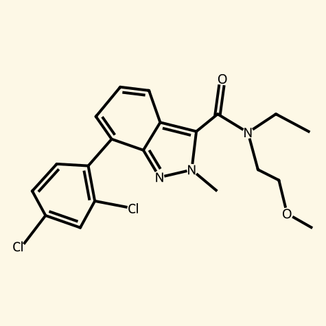 CCN(CCOC)C(=O)c1c2cccc(-c3ccc(Cl)cc3Cl)c2nn1C